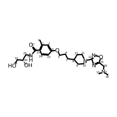 Cc1cc(OCCCC2CCN(c3noc(CN(C)C)n3)CC2)ccc1C(=O)NC[C@H](O)CO